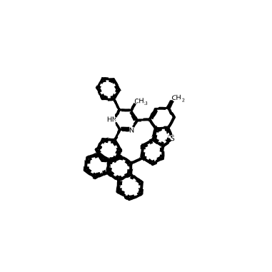 C=C1C=C(C2=C(C)C(c3ccccc3)NC(c3ccccc3)=N2)c2c(sc3ccc(-c4cc5ccccc5c5ccccc45)cc23)C1